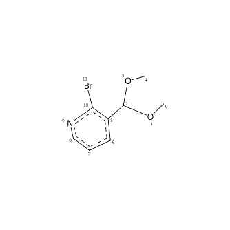 COC(OC)c1cccnc1Br